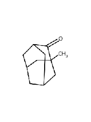 CC12CC3CC(CC(C3)C1=O)C2